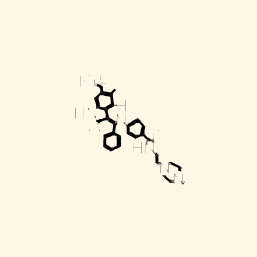 Cc1cc2c(cc1C(=O)O)NC(=O)C2=C(Nc1ccc(C(=O)NCCN2CCN(C)CC2)cc1)c1ccccc1